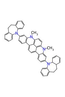 CN1c2cc(N3c4ccccc4CCc4ccccc43)ccc2-c2ccc3c4c(ccc1c24)N(C)c1cc(N2c4ccccc4CCC4C=CC=CC42)ccc1-3